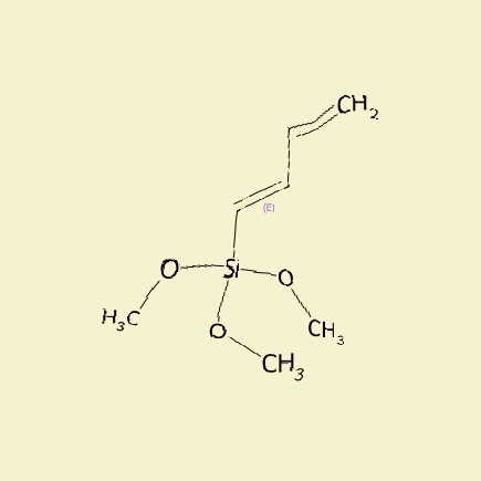 C=C/C=C/[Si](OC)(OC)OC